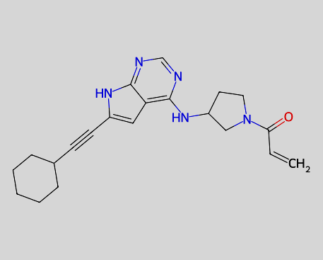 C=CC(=O)N1CCC(Nc2ncnc3[nH]c(C#CC4CCCCC4)cc23)C1